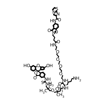 CC(C)(CNC(=S)Nc1ccc2c(c1)C(=O)OC21c2ccc(O)cc2Oc2cc(O)ccc21)COCC(C)(C)CC(=O)N[C@H](CCCCN)C(=O)NCCOCCOCCOCCOCCNC(=O)CCCn1oc2ccc(NC(=O)c3cn4ccsc4n3)cc2c1=O